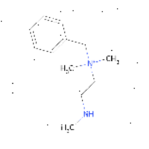 CNCC[N+](C)(C)Cc1ccccc1